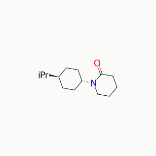 CC(C)[C@H]1CC[C@H](N2CCCCC2=O)CC1